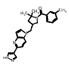 Cc1cccc(C(=O)N2CC(Cn3ccc4nc(-c5cn[nH]c5)ccc43)CC2(C)C)c1